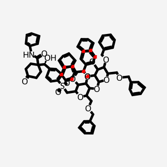 O=C1CCC(C(=O)Nc2ccccc2)([C@@H](O)c2ccc(S(=O)(=O)CC3OC(COCc4ccccc4)C(OC4OC(COCc5ccccc5)C(OCc5ccccc5)C(OCc5ccccc5)C4OCc4ccccc4)C(OCc4ccccc4)C3OCc3ccccc3)cc2)CC1